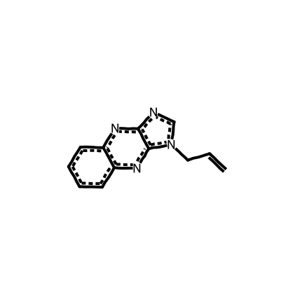 C=CCn1cnc2nc3ccccc3nc21